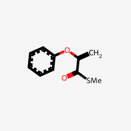 C=C(Oc1ccccc1)C(=O)SC